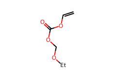 C=COC(=O)OCOCC